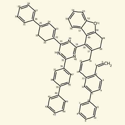 C=Cc1ccc(-c2ccccc2)cc1/C=C\CC1=C(c2nc(C3=CC=C(c4ccccc4)CC3)nc(-c3ccc(-c4ccccc4)cc3)n2)c2c(oc3ccccc23)CC1